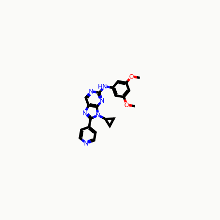 COc1cc(Nc2ncc3nc(-c4ccncc4)n(C4CC4)c3n2)cc(OC)c1